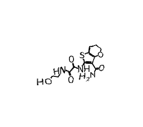 NC(=O)c1c(NC(=O)C(=O)NCCO)sc2c1OCCC2